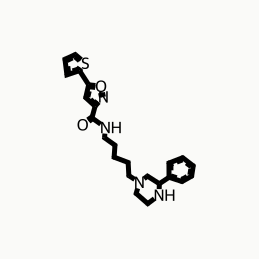 O=C(NCCCCCN1CCNC(c2ccccc2)C1)c1cc(-c2cccs2)on1